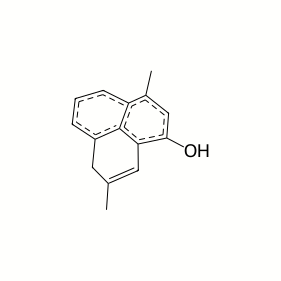 CC1=Cc2c(O)cc(C)c3cccc(c23)C1